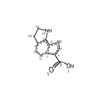 O=C(O)c1cnc2c3c(cnn12)CCN3